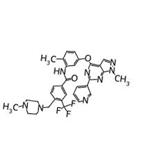 Cc1ccc(Oc2nc(-c3cccnc3)nc3c2cnn3C)cc1NC(=O)c1ccc(CN2CCN(C)CC2)c(C(F)(F)F)c1